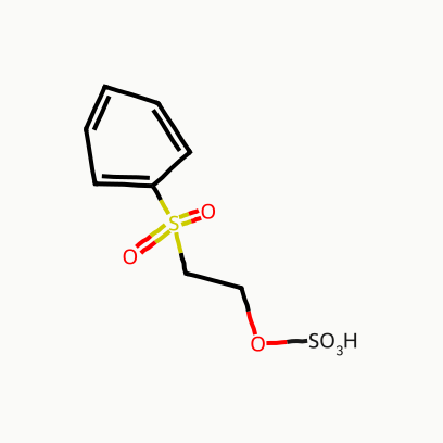 O=S(=O)(O)OCCS(=O)(=O)c1ccccc1